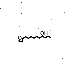 CCCC(O)CCCCCCC1CCO1